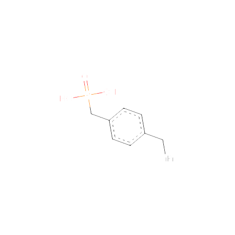 CC(C)Cc1ccc(CP(=O)(O)O)cc1